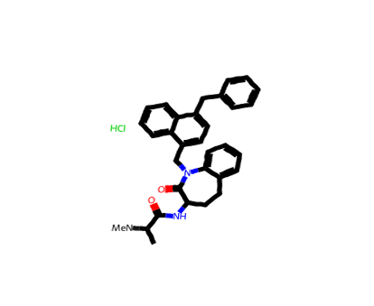 CNC(C)C(=O)NC1CCc2ccccc2N(Cc2ccc(Cc3ccccc3)c3ccccc23)C1=O.Cl